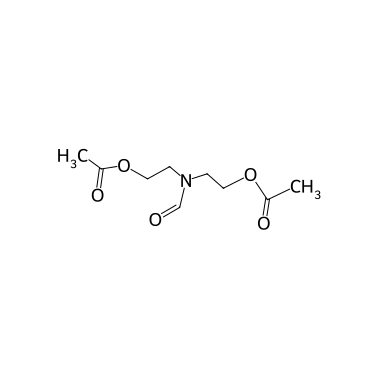 CC(=O)OCCN(C=O)CCOC(C)=O